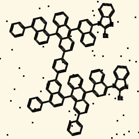 CCc1nc2ccccc2n1-c1ccc(-c2c3ccccc3c(-c3cccc4c(-c5ccccc5)cccc34)c3cc(-c4ccc(-c5ccc6c(-c7ccccc7)ccc(-c7c8ccccc8c(-c8ccc(-n9c(CC)nc%10ccccc%109)c9ccccc89)c8ccc(-c9ccccc9)cc78)c6c5)cc4)ccc23)c2ccccc12